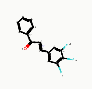 O=C(/C=C/c1cc(F)c(F)c(F)c1)c1ccccc1